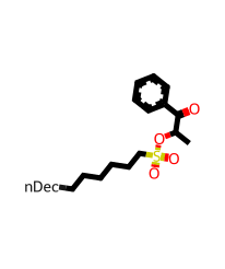 CCCCCCCCCCCCCCCCS(=O)(=O)OC(C)C(=O)c1ccccc1